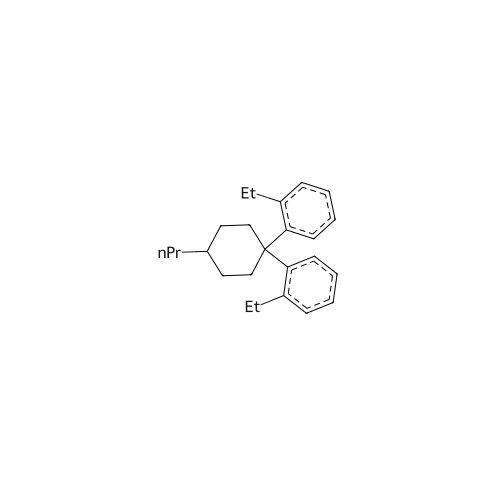 CCCC1CCC(c2ccccc2CC)(c2ccccc2CC)CC1